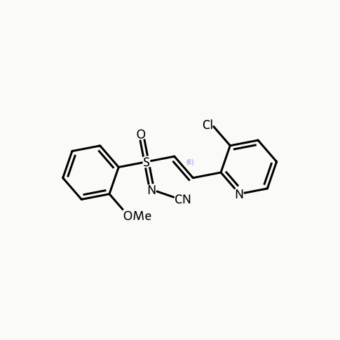 COc1ccccc1S(=O)(/C=C/c1ncccc1Cl)=NC#N